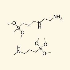 CNCCC[Si](OC)(OC)OC.CO[Si](C)(CCCNCCN)OC